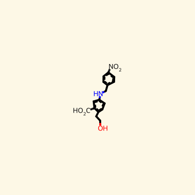 O=C(O)c1cc(NCc2ccc([N+](=O)[O-])cc2)ccc1CCO